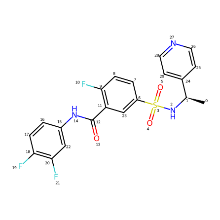 C[C@@H](NS(=O)(=O)c1ccc(F)c(C(=O)Nc2ccc(F)c(F)c2)c1)c1ccncc1